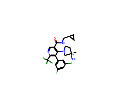 C[C@]1(N)CCN(c2c(C(=O)NCC3CC3)cnc(C(F)(F)F)c2-c2cc(F)cc(F)c2)C1